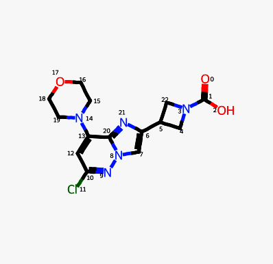 O=C(O)N1CC(c2cn3nc(Cl)cc(N4CCOCC4)c3n2)C1